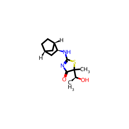 C[C@H](O)C1(C)SC(N[C@H]2C[C@@H]3CC[C@H]2C3)=NC1=O